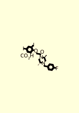 C[C@@H]1CN(C(=O)COc2c(I)cc(I)cc2C(=O)O)[C@@H](C)CN1Cc1ccc(F)cc1